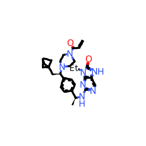 C=CC(=O)N1CCN([C@H](CC23CC(C2)C3)c2ccc([C@H](C)Nc3ncc4[nH]c(=O)n(CC)c4n3)cc2)CC1